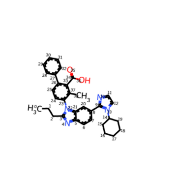 CCCc1nc2ccc(-c3nccn3C3CCCCC3)cc2n1-c1ccc(-c2ccccc2)c(C(=O)O)c1C